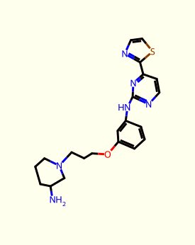 NC1CCCN(CCCOc2cccc(Nc3nccc(-c4nccs4)n3)c2)C1